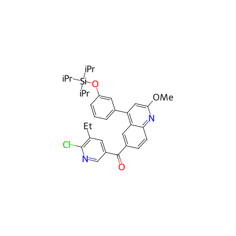 CCc1cc(C(=O)c2ccc3nc(OC)cc(-c4cccc(O[Si](C(C)C)(C(C)C)C(C)C)c4)c3c2)cnc1Cl